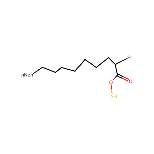 CCCCCCCCCCCCCCCCC(CC)C(=O)OS